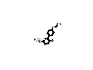 CCOc1ccc(-c2nc(OC)ccc2Br)cc1